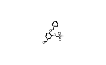 O=Cc1ccc(OCc2ccccc2)c(OCS(=O)(=O)Cl)c1